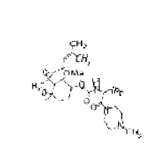 COC1C(OC(=O)NC(C(=O)N2CCN(C)CC2)C(C)C)CCC2(CO2)C1C1(C)OC1CC=C(C)C